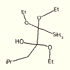 CCOC(O)(CC(C)C)C([SiH3])(OCC)OCC